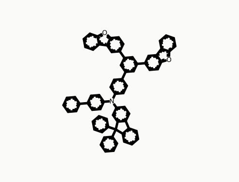 c1ccc(-c2ccc(N(c3ccc(-c4cc(-c5ccc6oc7ccccc7c6c5)cc(-c5ccc6oc7ccccc7c6c5)c4)cc3)c3ccc4c(c3)C(c3ccccc3)(c3ccccc3)c3ccccc3-4)cc2)cc1